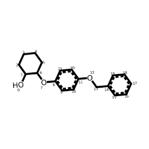 OC1CCCCC1Oc1ccc(OCc2ccccc2)cc1